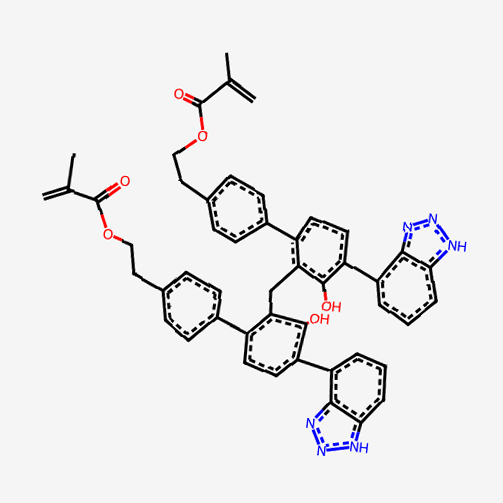 C=C(C)C(=O)OCCc1ccc(-c2ccc(-c3cccc4[nH]nnc34)c(O)c2Cc2c(-c3ccc(CCOC(=O)C(=C)C)cc3)ccc(-c3cccc4[nH]nnc34)c2O)cc1